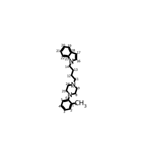 Cc1ccccc1N1CCN(CCCCn2ccc3ccccc32)CC1